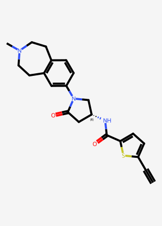 C#Cc1ccc(C(=O)N[C@@H]2CC(=O)N(c3ccc4c(c3)CCN(C)CC4)C2)s1